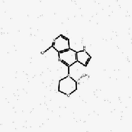 C[C@@H]1COCCN1c1nc2c(Cl)nccc2c2[nH]ccc12